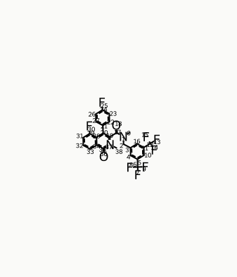 CN(Cc1cc(C(F)(F)F)cc(C(F)(F)F)c1)C(=O)c1c(-c2ccc(F)cc2)c2c(F)cccc2c(=O)n1C